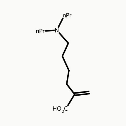 C=C(CCCCN(CCC)CCC)C(=O)O